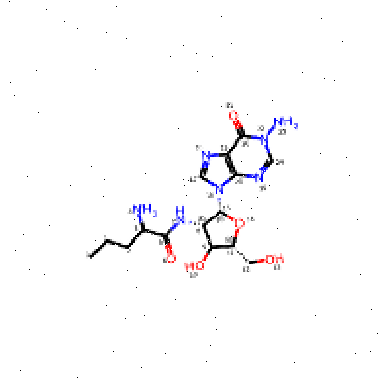 CCCC(N)C(=O)N[C@H]1C(O)[C@@H](CO)O[C@H]1n1cnc2c(=O)n(N)cnc21